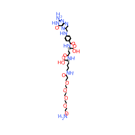 NOCCOCCOCCOCCOCCC(=O)NCCCC[C@H](NC(=O)CC[C@H](NC(=O)c1ccc(NCc2cnc3nc(N)[nH]c(=O)c3n2)cc1)C(=O)O)C(=O)O